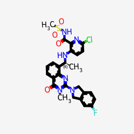 C[C@@H](Nc1ccc(Cl)nc1C(=O)NS(C)(=O)=O)c1cccc2c(=O)n(C)c(N3Cc4ccc(F)cc4C3)nc12